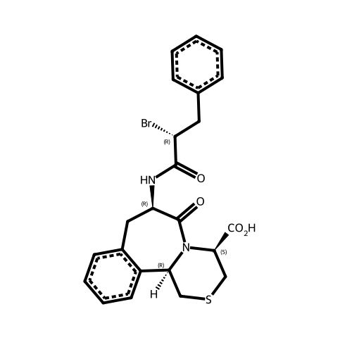 O=C(N[C@@H]1Cc2ccccc2[C@@H]2CSC[C@H](C(=O)O)N2C1=O)[C@H](Br)Cc1ccccc1